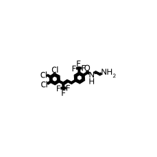 NCCNC(=O)c1ccc(CC=C(c2cc(Cl)c(Cl)c(Cl)c2)C(F)(F)F)cc1C(F)(F)F